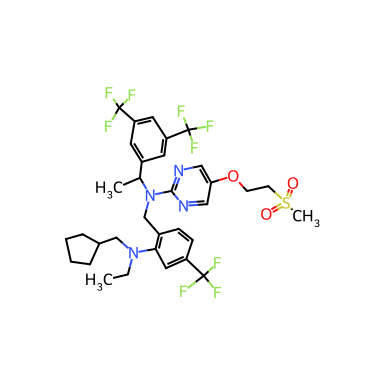 CCN(CC1CCCC1)c1cc(C(F)(F)F)ccc1CN(c1ncc(OCCS(C)(=O)=O)cn1)C(C)c1cc(C(F)(F)F)cc(C(F)(F)F)c1